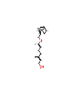 C/C(=C\CO)CC/C=C(\C)OCC1=CCC2CC1C2(C)C